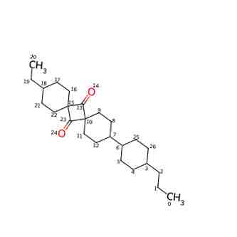 CCCC1CCC(C2CCC3(CC2)C(=O)C2(CCC(CC)CC2)C3=O)CC1